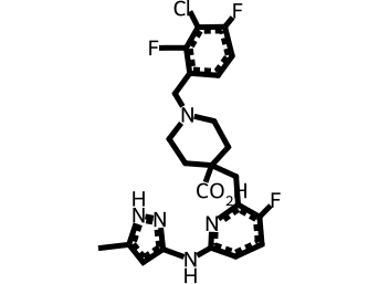 Cc1cc(Nc2ccc(F)c(CC3(C(=O)O)CCN(Cc4ccc(F)c(Cl)c4F)CC3)n2)n[nH]1